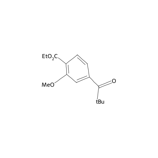 CCOC(=O)c1ccc(C(=O)C(C)(C)C)cc1OC